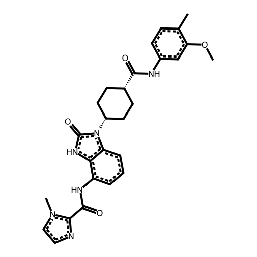 COc1cc(NC(=O)[C@H]2CC[C@@H](n3c(=O)[nH]c4c(NC(=O)c5nccn5C)cccc43)CC2)ccc1C